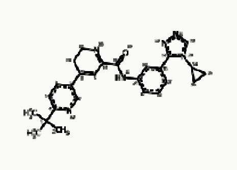 CC(C)(C)c1ccc(C2=CC(C(=O)Nc3cccc(-c4nncn4C4CC4)c3)=NCC2)cn1